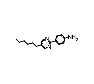 CCCCCCc1cnc(-c2ccc(N)cc2)nc1